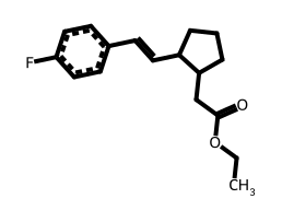 CCOC(=O)CC1CCCC1C=Cc1ccc(F)cc1